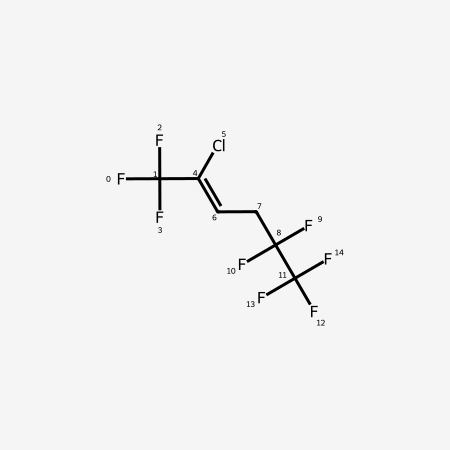 FC(F)(F)C(Cl)=CCC(F)(F)C(F)(F)F